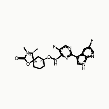 C[C@@H]1N(C)C(=O)O[C@]12CCC[C@H](ONc1nc(-c3c[nH]c4ncc(F)cc34)ncc1F)C2